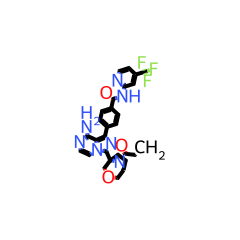 C=CC(=O)N1C2CCC1(c1nc(-c3ccc(C(=O)Nc4cc(C(F)(F)F)ccn4)cc3)c3c(N)nccn13)COC2